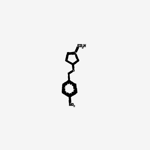 O=C(O)N1CCC(OCc2ccc([N+](=O)[O-])cc2)C1